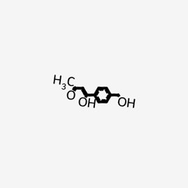 CC(=O)/C=C(\O)c1ccc(CO)cc1